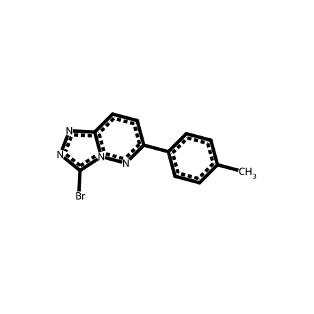 Cc1ccc(-c2ccc3nnc(Br)n3n2)cc1